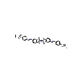 Cc1ccc(/C=C/c2ccc3c(c2)S/C(=C2\Sc4ccc(/C=C/c5ccc(C)cc5)cc4S2)S3)cc1